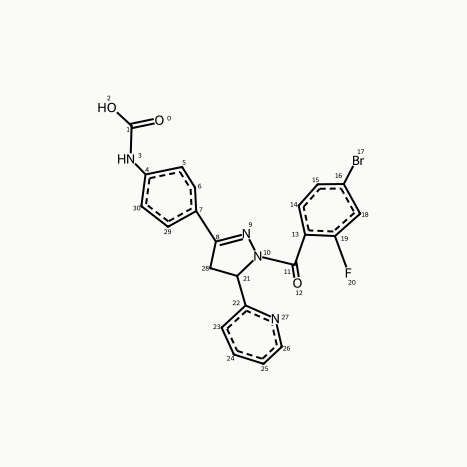 O=C(O)Nc1ccc(C2=NN(C(=O)c3ccc(Br)cc3F)C(c3ccccn3)C2)cc1